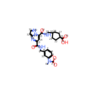 Cn1c(=O)oc2ccc(CNC(=O)c3cc(C(=O)NCC4CCC(C(=O)O)CC4)n4nccc4n3)cc21